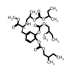 CCC(C)COC(=O)Oc1ccc(C[C@H](NCC(C)OC(=O)OC(C)CC)C(=O)OC)cc1OC(=O)OCC(C)CC